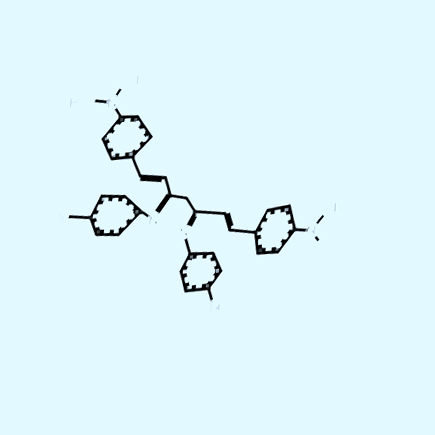 CN(C)c1ccc(C=CC(CC(C=Cc2ccc(N(C)C)cc2)=Nc2ccc(Br)cc2)=Nc2ccc(Br)cc2)cc1